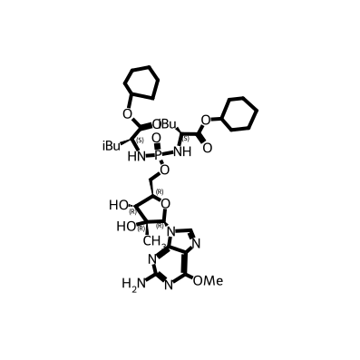 CCC(C)[C@H](NP(=O)(N[C@H](C(=O)OC1CCCCC1)C(C)CC)OC[C@H]1O[C@@H](n2cnc3c(OC)nc(N)nc32)[C@](C)(O)[C@@H]1O)C(=O)OC1CCCCC1